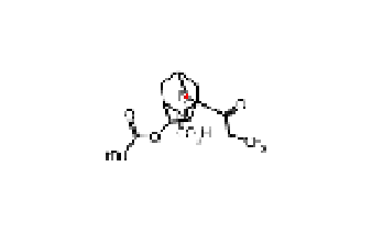 CC(C)(C)C(=O)OC1C2C3CC(CC1N3C(=O)O)CN2C(=O)CC(F)(F)F